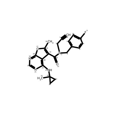 C#CCN(Cc1ccc(F)cc1)C(=O)c1c(C)oc2ncnc(NC3(C)CC3)c12